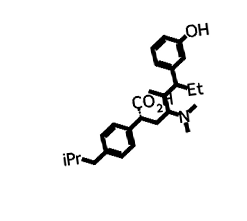 CCC(c1cccc(O)c1)C(C)C(C[C@@H](C(=O)O)c1ccc(CC(C)C)cc1)N(C)C